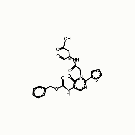 O=C[C@H](CC(=O)O)NC(=O)Cn1c(-c2cccs2)ncc(NC(=O)OCc2ccccc2)c1=O